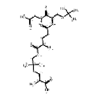 CC(C)(C)SCC(NC(=O)CCC(N)C(=O)OCC(C)(C)SCC(N)C(=O)O)C(=O)NCC(=O)O